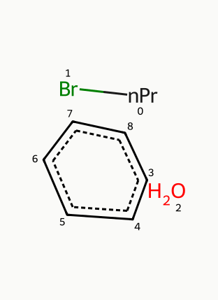 CCCBr.O.c1ccccc1